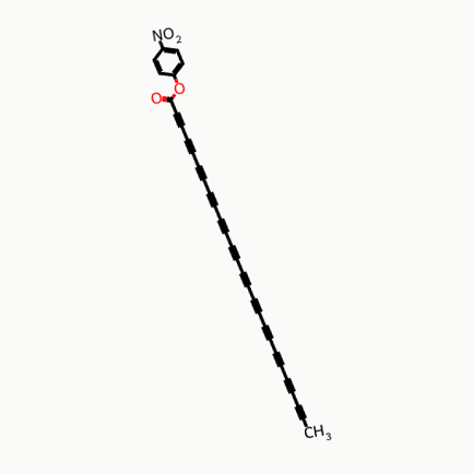 CC#CC#CC#CC#CC#CC#CC#CC#CC#CC#CC#CC#CC(=O)Oc1ccc([N+](=O)[O-])cc1